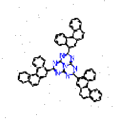 c1ccc2c(c1)ccc1cc(C3=NC4=NC(c5cc6ccc7ccccc7c6c6ccccc56)=NC5=NC(c6cc7ccc8ccccc8c7c7ccccc67)=NC(=N3)N45)c3ccccc3c12